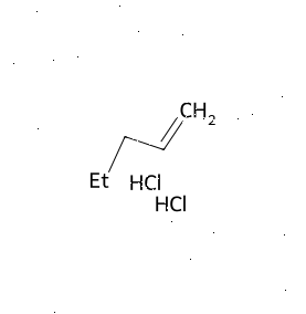 C=CCCC.Cl.Cl